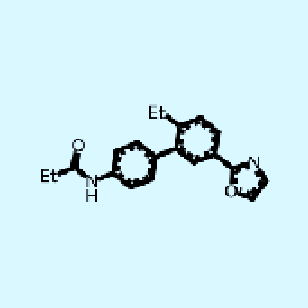 CCC(=O)Nc1ccc(-c2cc(-c3ncco3)ccc2CC)cc1